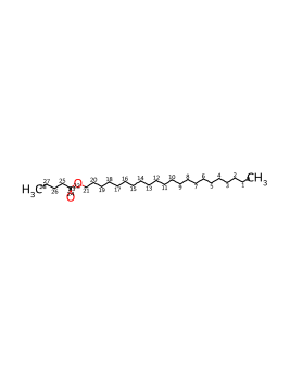 CCCCCCCCCCCCCCCCCCCCCCOC(=O)CCCC